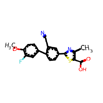 COc1ccc(-c2ccc(-c3nc(C)c(C(=O)O)s3)cc2C#N)cc1F